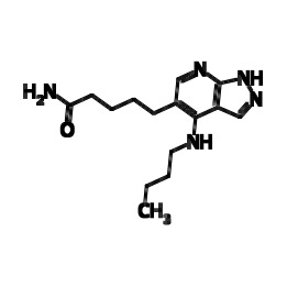 CCCCNc1c(CCCCC(N)=O)cnc2[nH]ncc12